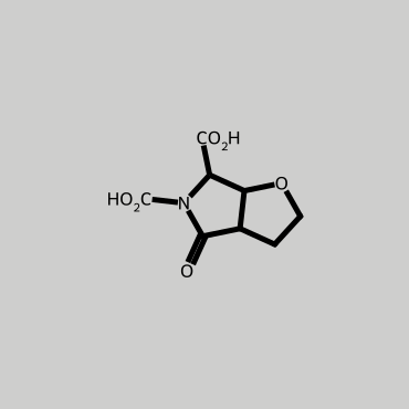 O=C(O)C1C2OCCC2C(=O)N1C(=O)O